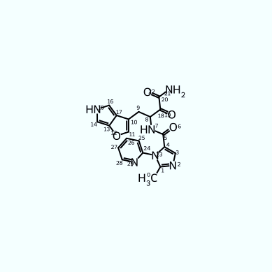 Cc1ncc(C(=O)NC(Cc2coc3c[nH]cc23)C(=O)C(N)=O)n1-c1ccccn1